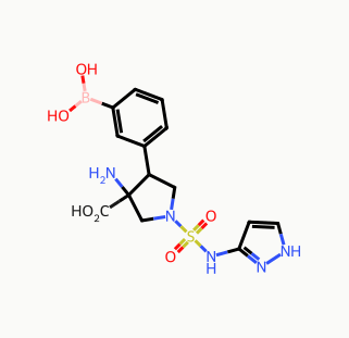 NC1(C(=O)O)CN(S(=O)(=O)Nc2cc[nH]n2)CC1c1cccc(B(O)O)c1